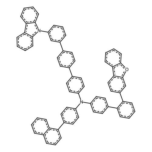 c1cc(-c2ccc(-c3ccc(N(c4ccc(-c5ccccc5-c5ccc6c(c5)oc5ccccc56)cc4)c4ccc(-c5cccc6ccccc56)cc4)cc3)cc2)cc(-n2c3ccccc3c3ccccc32)c1